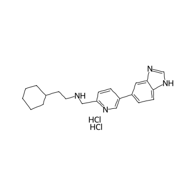 Cl.Cl.c1nc2cc(-c3ccc(CNCCC4CCCCC4)nc3)ccc2[nH]1